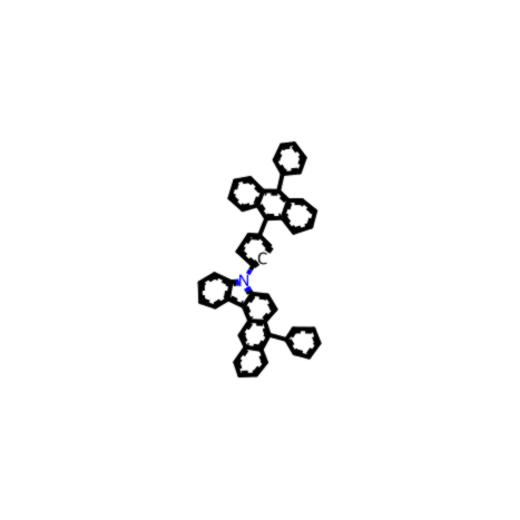 c1ccc(-c2c3ccccc3c(-c3ccc(-n4c5ccccc5c5c6cc7ccccc7c(-c7ccccc7)c6ccc54)cc3)c3ccccc23)cc1